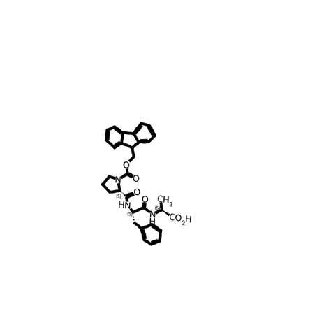 C[C@H](NC(=O)[C@H](Cc1ccccc1)NC(=O)[C@@H]1CCCN1C(=O)OCC1c2ccccc2-c2ccccc21)C(=O)O